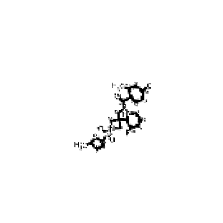 Cc1ccc(S(=O)(=O)N2CC(CNC(=O)c3ccc(Cl)cc3C)(c3ncccc3F)C2)s1